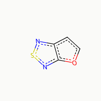 c1cc2nsnc2o1